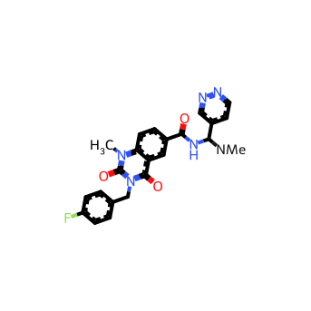 CNC(NC(=O)c1ccc2c(c1)c(=O)n(Cc1ccc(F)cc1)c(=O)n2C)c1ccnnc1